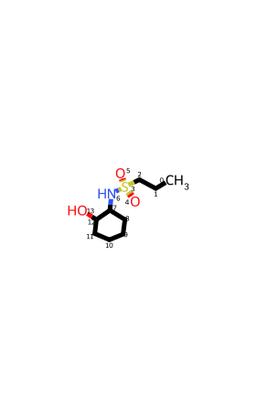 CCCS(=O)(=O)NC1CCCCC1O